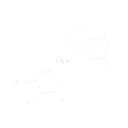 COc1cc(/C=C/C(=O)c2cc(Br)cc(Cl)c2O)cc(OC)c1OC